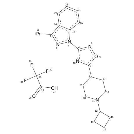 CC(C)c1nn(-c2noc(C3CCN(C4CCC4)CC3)n2)c2ccccc12.O=C(O)C(F)(F)F